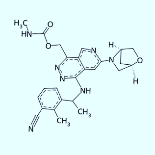 CNC(=O)OCc1nnc(NC(C)c2cccc(C#N)c2C)c2cc(N3C[C@H]4C[C@@H]3CO4)ncc12